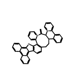 C=C1C2C(CCc3ccc4c(oc5c6ccccc6c6ccccc6c45)c3-c3cccc[n+]31)c1ccccc1-c1cccc[n+]12